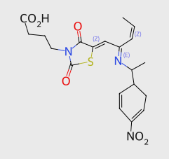 C\C=C/C(/C=C1\SC(=O)N(CCCC(=O)O)C1=O)=N\C(C)C1C=CC([N+](=O)[O-])=CC1